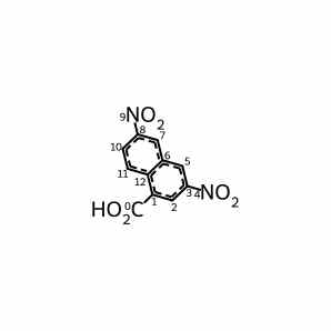 O=C(O)c1cc([N+](=O)[O-])cc2cc([N+](=O)[O-])ccc12